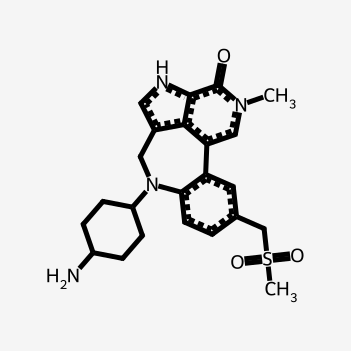 Cn1cc2c3c(c[nH]c3c1=O)CN(C1CCC(N)CC1)c1ccc(CS(C)(=O)=O)cc1-2